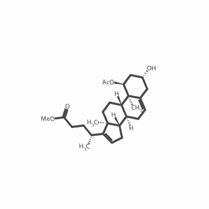 COC(=O)CC[C@@H](C)C1=CC[C@H]2[C@@H]3CC=C4C[C@@H](O)C[C@H](OC(C)=O)[C@]4(C)[C@H]3CC[C@]12C